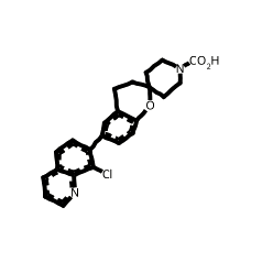 O=C(O)N1CCC2(CCc3cc(-c4ccc5cccnc5c4Cl)ccc3O2)CC1